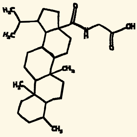 CC(C)C1CCC2(C(=O)NCC(=O)O)CCC3C(CCC4C5(C)CCCC(C)C5CCC34C)C12